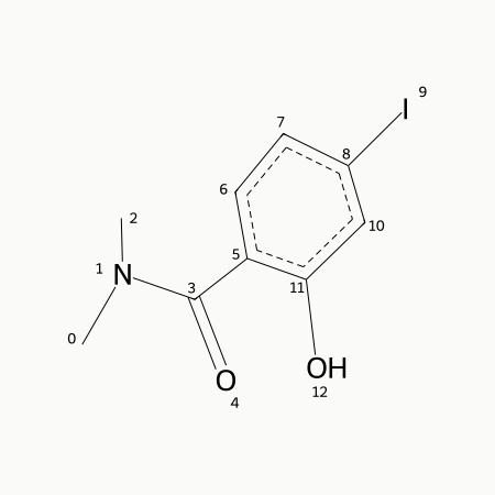 CN(C)C(=O)c1ccc(I)cc1O